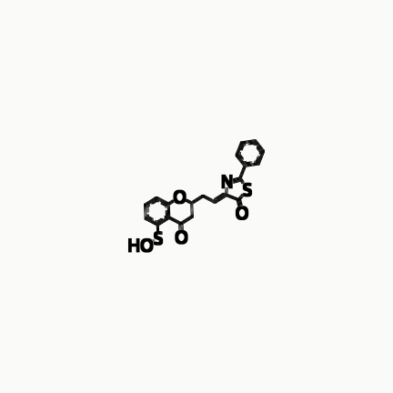 O=C1SC(c2ccccc2)=NC1=CCC1CC(=O)c2c(cccc2SO)O1